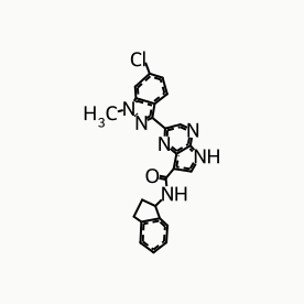 Cn1nc(-c2cnc3[nH]cc(C(=O)NC4CCc5ccccc54)c3n2)c2ccc(Cl)cc21